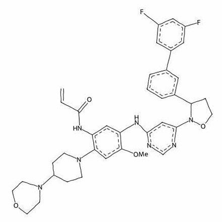 C=CC(=O)Nc1cc(Nc2cc(N3OCCC3c3cccc(-c4cc(F)cc(F)c4)c3)ncn2)c(OC)cc1N1CCC(N2CCOCC2)CC1